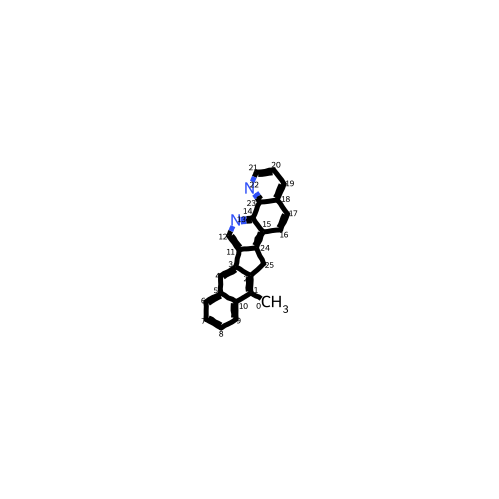 Cc1c2c(cc3ccccc13)-c1cnc3c(ccc4cccnc43)c1C2